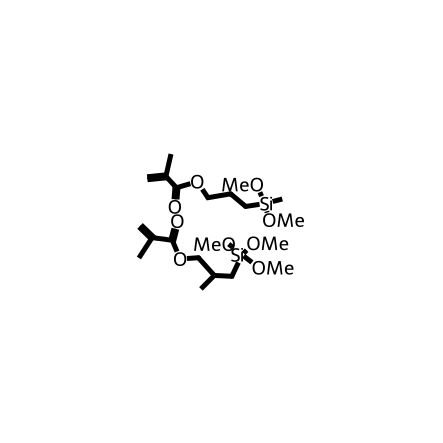 C=C(C)C(=O)OCC(C)C[Si](OC)(OC)OC.C=C(C)C(=O)OCCC[Si](C)(OC)OC